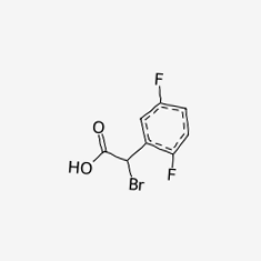 O=C(O)C(Br)c1cc(F)ccc1F